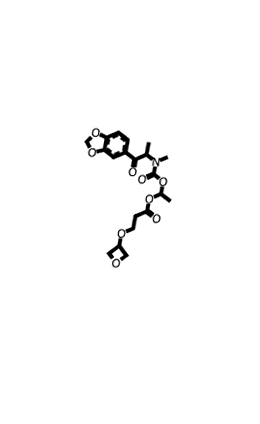 CC(OC(=O)CCOC1COC1)OC(=O)N(C)C(C)C(=O)c1ccc2c(c1)OCO2